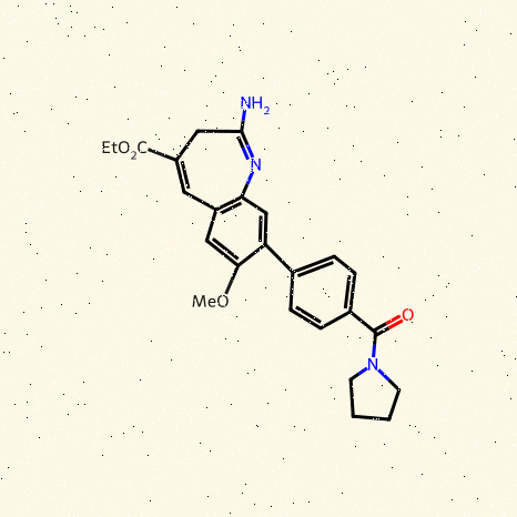 CCOC(=O)C1=Cc2cc(OC)c(-c3ccc(C(=O)N4CCCC4)cc3)cc2N=C(N)C1